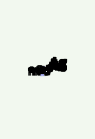 C=C1C=C2c3cc(CC)c(C(/C=C\C(=O)NCCCC)=C/C)cc3CC(C(C)(C)C)N2C=C1C(=O)OCC